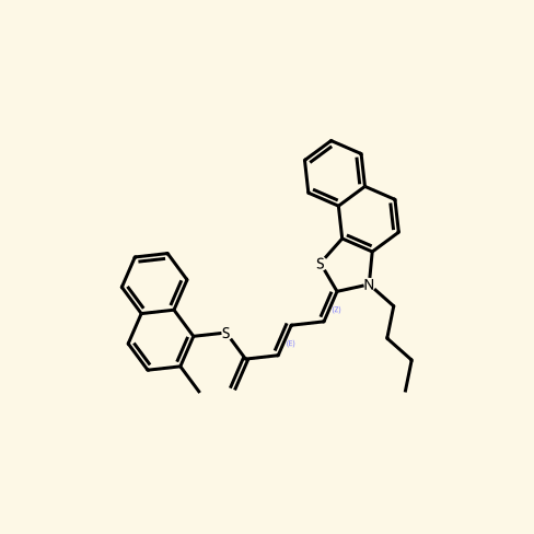 C=C(/C=C/C=C1\Sc2c(ccc3ccccc23)N1CCCC)Sc1c(C)ccc2ccccc12